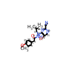 COc1ccc(CC(=O)NN(CC(C)C)c2nc(C#N)ncc2Br)cc1